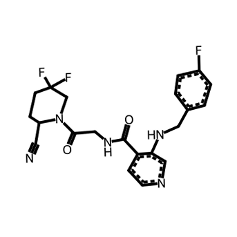 N#CC1CCC(F)(F)CN1C(=O)CNC(=O)c1ccncc1NCc1ccc(F)cc1